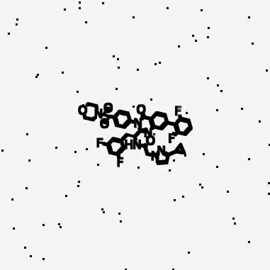 O=C(Cn1ccc(C2CC2)n1)N[C@@H](Cc1cc(F)cc(F)c1)c1nc2cc(-c3c(F)cccc3F)ccc2c(=O)n1-c1ccc(S(=O)(=O)N2CCOCC2)cc1